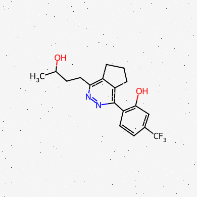 CC(O)CCc1nnc(-c2ccc(C(F)(F)F)cc2O)c2c1CCC2